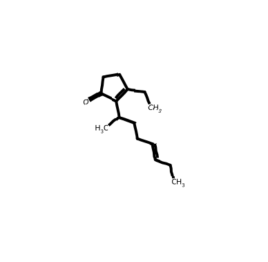 CCC=CCCC(C)C1=C(CC)CCC1=O